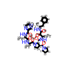 CCCC(NC(=O)[C@@H]1[C@@H](C(=O)N2CCCC2)CCN1C(=O)[C@@H](NC(=O)[C@@H](NC(=O)c1cnccn1)C(C)C)C(C)C)C(=O)C(=O)N[C@@H](Cc1ccccc1)C(=O)O